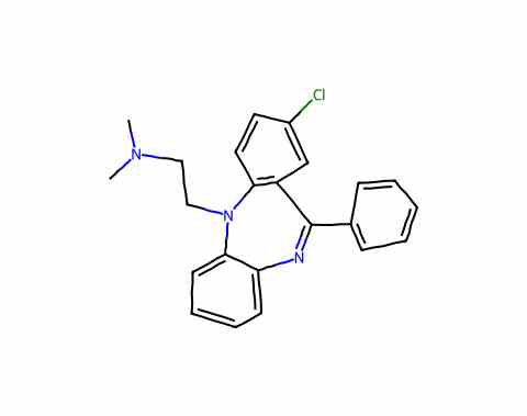 CN(C)CCN1c2ccccc2N=C(c2ccccc2)c2cc(Cl)ccc21